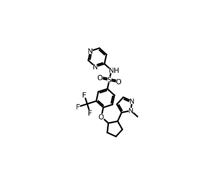 Cn1nccc1C1CCCC1Oc1ccc(S(=O)(=O)Nc2ccncn2)cc1C(F)(F)F